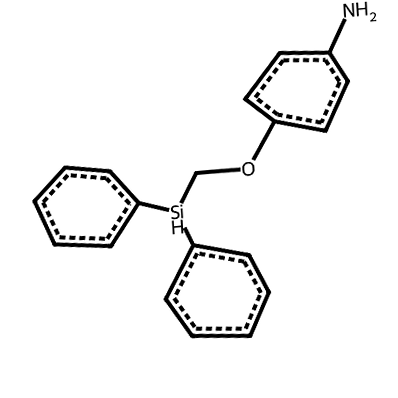 Nc1ccc(OC[SiH](c2ccccc2)c2ccccc2)cc1